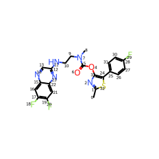 Cc1nc(OC(=O)N(C)CCNc2cnc3cc(F)c(F)cc3n2)c(-c2ccc(F)cc2)s1